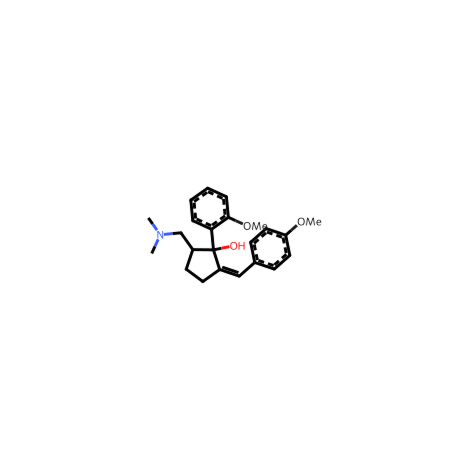 COc1ccc(C=C2CCC(CN(C)C)C2(O)c2ccccc2OC)cc1